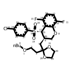 CCCCOCCC1(C[C@@H]2COc3c(F)ccc(F)c3[C@H]2S(=O)(=O)c2ccc(Cl)cc2)OCCO1